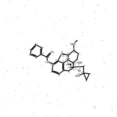 CN[C@H]1CC[C@@]2(O)[C@H]3Cc4ccc(OC(=O)c5ccccc5)c5c4[C@@]2(CCN3CC2(O)CC2)[C@H]1O5